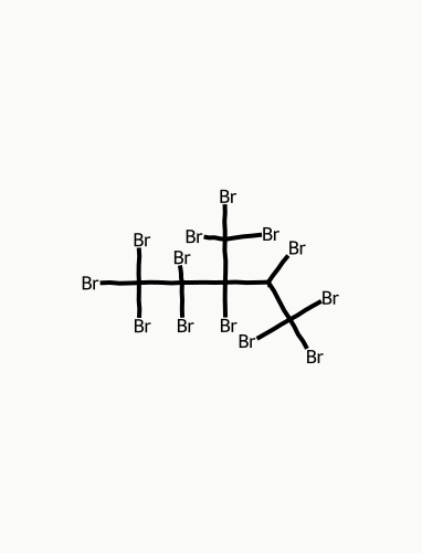 Br[C](C(Br)(Br)Br)C(Br)(C(Br)(Br)Br)C(Br)(Br)C(Br)(Br)Br